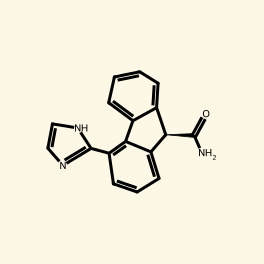 NC(=O)[C@@H]1c2ccccc2-c2c(-c3ncc[nH]3)cccc21